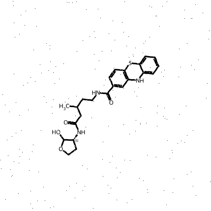 CC(CCNC(=O)c1ccc2c(c1)Nc1ccccc1S2)CC(=O)N[C@H]1CCOC1O